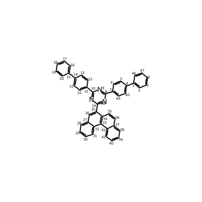 c1ccc(-c2ccc(-c3nc(-c4ccc(-c5ccccc5)cc4)nc(-c4cc5ccccc5c5c4ccc4ccccc45)n3)cc2)cc1